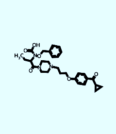 CCC(C(=O)N1CCN(CCCOc2ccc(C(=O)C3CC3)cc2)CC1)N(OCc1ccccc1)C(=O)O